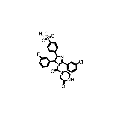 CS(=O)(=O)c1ccc(C2N=C(c3cccc(Cl)c3)N(C(=O)N3CCNC(=O)C3)C2c2cccc(F)c2)cc1